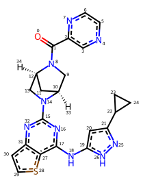 O=C(c1cnccn1)N1C[C@@H]2C[C@H]1CN2c1nc(Nc2cc(C3CC3)n[nH]2)c2sccc2n1